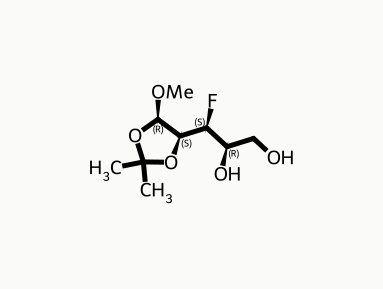 CO[C@@H]1OC(C)(C)O[C@@H]1[C@@H](F)[C@H](O)CO